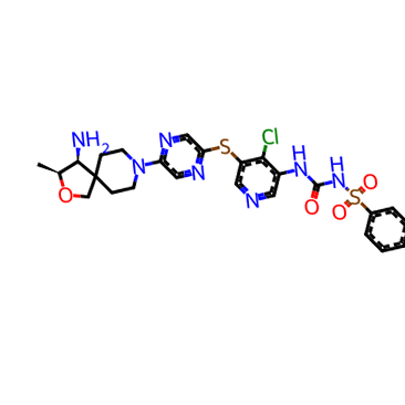 C[C@@H]1OCC2(CCN(c3cnc(Sc4cncc(NC(=O)NS(=O)(=O)c5ccccc5)c4Cl)cn3)CC2)[C@@H]1N